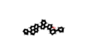 c1ccc(-c2ccc3ccc4c(-c5ccc(-c6ccc7oc8c(-c9ccccc9)cccc8c7c6)c6ccccc56)ccc5ccc2c3c54)cc1